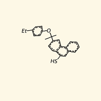 CCc1ccc(OC(C)(C)c2ccc3c(S)cc4ccccc4c3c2)cc1